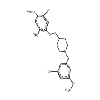 N#Cc1cc(C(=O)O)c(F)cc1OCC1CCN(Cc2cc(Cl)cc(OC(F)(F)F)c2)CC1